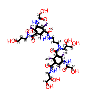 O=C(CO)Nc1c(I)c(C(=O)NCCCN(CC(O)CO)C(=O)c2c(I)c(NC(=O)CO)c(I)c(C(=O)NCC(O)CO)c2I)c(I)c(C(=O)N(O)CCCO)c1I